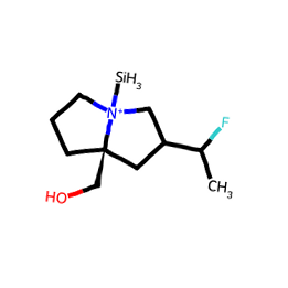 CC(F)C1C[C@]2(CO)CCC[N+]2([SiH3])C1